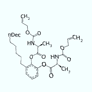 C=CCOC(=O)N[C@@H](C)C(=O)Oc1cccc(CCCCCCCCCCCCCCC)c1OC(=O)[C@H](C)NC(=O)OCC=C